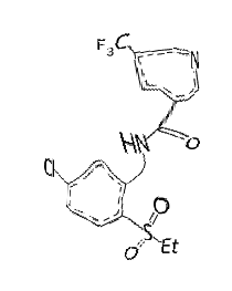 CCS(=O)(=O)c1ccc(Cl)cc1CNC(=O)c1cncc(C(F)(F)F)c1